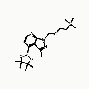 Cc1nn(COCC[Si](C)(C)C)c2nccc(B3OC(C)(C)C(C)(C)O3)c12